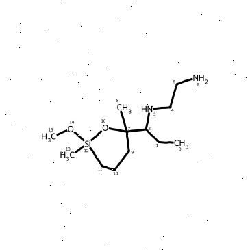 CCC(NCCN)C1(C)CCC[Si](C)(OC)O1